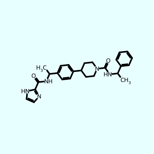 CC(NC(=O)c1ncc[nH]1)c1ccc(C2CCN(C(=O)NC(C)c3ccccc3)CC2)cc1